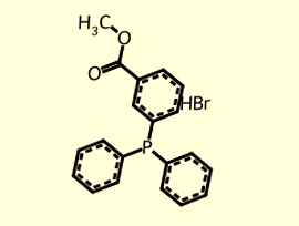 Br.COC(=O)c1cccc(P(c2ccccc2)c2ccccc2)c1